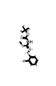 CS/C(=N\Sc1ccccc1F)NC(=O)OC(C)(C)C